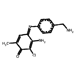 CC1=C/C(=N/c2ccc(CN)cc2)C(N)=C(Cl)C1=O